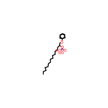 CCCCCCCCCCCCCCC(COc1ccccc1)OP(=O)(O)O